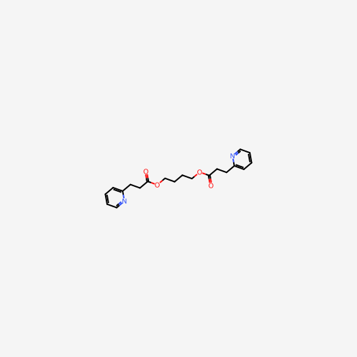 O=C(CCc1ccccn1)OCCCCOC(=O)CCc1ccccn1